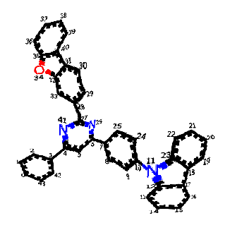 c1ccc(-c2cc(-c3ccc(-n4c5ccccc5c5ccccc54)cc3)nc(-c3ccc4c(c3)oc3ccccc34)n2)cc1